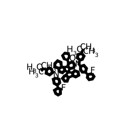 CC(C)(C)c1ccc(N(c2ccc(-c3ccccc3F)cc2)c2cc3c(c4c2OC2C=CC=CC42)-c2c(cc(N(c4ccc(-c5ccccc5F)cc4)c4ccc(C(C)(C)C)cc4)c4ccccc24)C32c3ccccc3-c3ccccc32)cc1